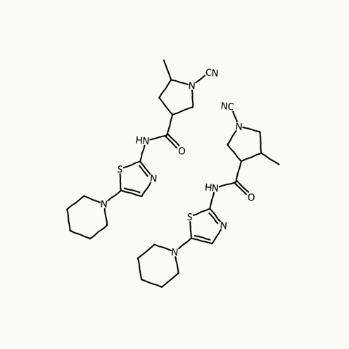 CC1CC(C(=O)Nc2ncc(N3CCCCC3)s2)CN1C#N.CC1CN(C#N)CC1C(=O)Nc1ncc(N2CCCCC2)s1